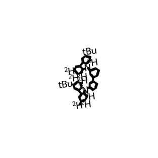 [2H]c1cc2c3cc(C(C)(C)C)cc([2H])c3n(-c3cccc(-c4cccc(-n5c6c([2H])cc(C(C)(C)C)cc6c6cc([2H])c([2H])c([2H])c65)c4)c3)c2c([2H])c1[2H]